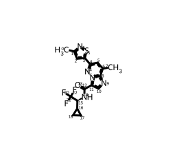 Cc1cc(-c2cc(C)c3ncc(C(=O)N[C@@H](C4CC4)C(F)(F)F)n3n2)sn1